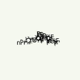 CCCC1CCC(COc2cc(F)c(C(F)(F)Oc3cc(F)c(OC=C(F)F)c(F)c3)c(F)c2)CC1